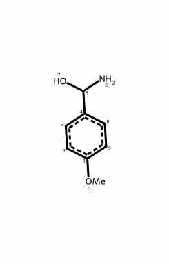 COc1ccc(C(N)O)cc1